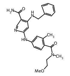 COCCN(C)C(=O)c1ccc(Nc2cc(NCc3ccccc3)c(C(N)=O)cn2)cc1C